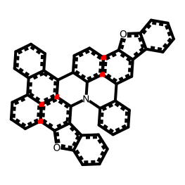 c1ccc(N(c2ccccc2-c2cc3ccccc3c3ccccc23)c2cccc3oc4ccccc4c23)c(-c2ccc3oc4ccccc4c3c2)c1